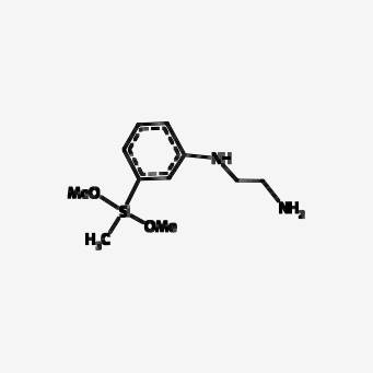 CO[Si](C)(OC)c1cccc(NCCN)c1